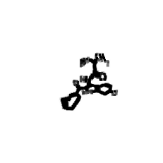 CC(Br)C(=O)Nc1c(C(=O)c2ccccc2)[nH]c2cc(Cl)ccc12